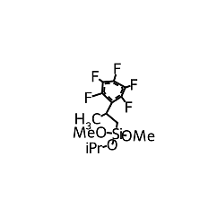 CO[Si](CC(C)c1c(F)c(F)c(F)c(F)c1F)(OC)OC(C)C